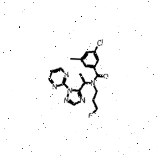 Cc1cc(Cl)cc(C(=O)N(CCCF)C(C)c2ncnn2-c2ncccn2)c1